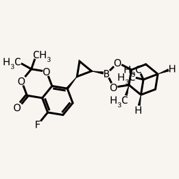 CC1(C)OC(=O)c2c(F)ccc([C@H]3C[C@H]3B3OC4C[C@@H]5C[C@@H](C5(C)C)[C@]4(C)O3)c2O1